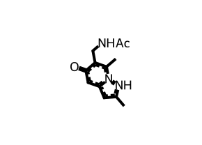 CC(=O)NCc1c(C)n2[nH]c(C)cc2cc1=O